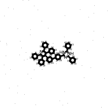 c1ccc(-c2nc(-c3ccccc3)c(-c3ccccc3)c(-c3cccc(-c4ccc(C5=NC(c6ccccc6)NC(c6ccccc6)N5)cc4)c3)c2-c2ccccc2)cc1